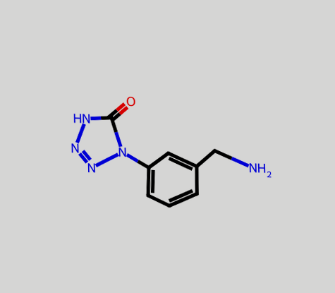 NCc1cccc(-n2nn[nH]c2=O)c1